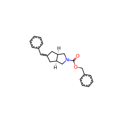 O=C(OCc1ccccc1)N1C[C@H]2C/C(=C/c3ccccc3)C[C@H]2C1